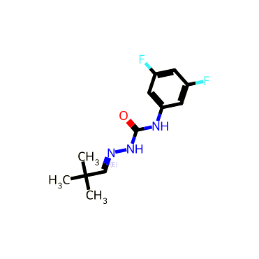 CC(C)(C)/C=N/NC(=O)Nc1cc(F)cc(F)c1